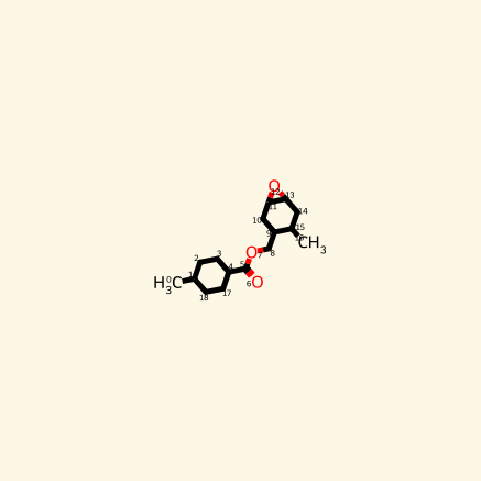 CC1CCC(C(=O)OCC2CC3OC3CC2C)CC1